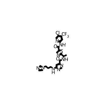 CC(NC(=O)c1cc(NCCCn2ccnc2)ncn1)c1ncc(C(=O)Nc2cc(C(F)(F)F)c(Cl)cn2)s1